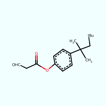 CC(C)(C)CC(C)(C)c1ccc(OC(=O)CC=O)cc1